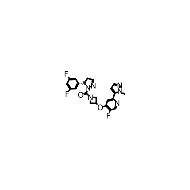 Cn1nccc1-c1cc(OC2CN(C(=O)N3N=CC[C@H]3c3cc(F)cc(F)c3)C2)c(F)cn1